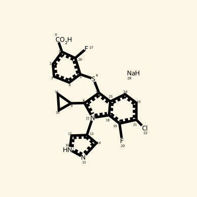 O=C(O)c1cccc(Sc2c(C3CC3)n(-c3cn[nH]c3)c3c(F)c(Cl)ccc23)c1F.[NaH]